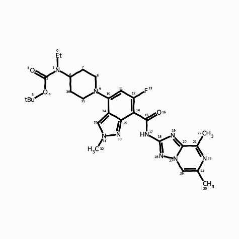 CCN(C(=O)OC(C)(C)C)C1CCN(c2cc(F)c(C(=O)Nc3nc4c(C)nc(C)cn4n3)c3nn(C)cc23)CC1